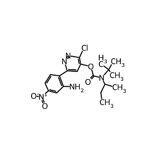 CCC(C)N(C(=O)Oc1cc(-c2ccc([N+](=O)[O-])cc2N)nnc1Cl)C(C)(C)C